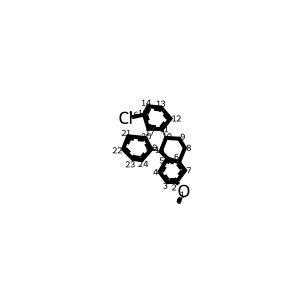 COc1ccc2c(c1)CC[C@@H](c1cccc(Cl)c1)[C@H]2c1ccccc1